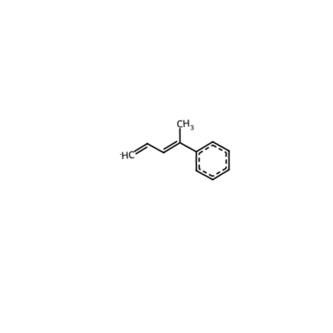 [CH]=CC=C(C)c1ccccc1